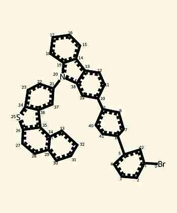 Brc1cccc(-c2ccc(-c3ccc4c5ccccc5n(-c5ccc6sc7ccc8ccccc8c7c6c5)c4c3)cc2)c1